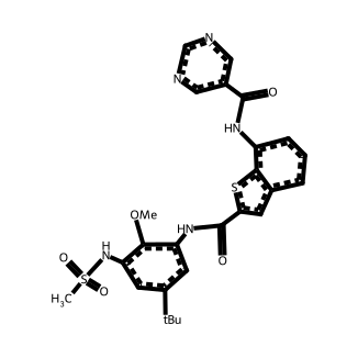 COc1c(NC(=O)c2cc3cccc(NC(=O)c4cncnc4)c3s2)cc(C(C)(C)C)cc1NS(C)(=O)=O